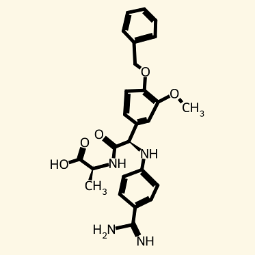 COc1cc([C@@H](Nc2ccc(C(=N)N)cc2)C(=O)N[C@@H](C)C(=O)O)ccc1OCc1ccccc1